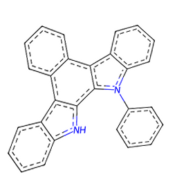 c1ccc(-n2c3ccccc3c3c4ccccc4c4c5ccccc5[nH]c4c32)cc1